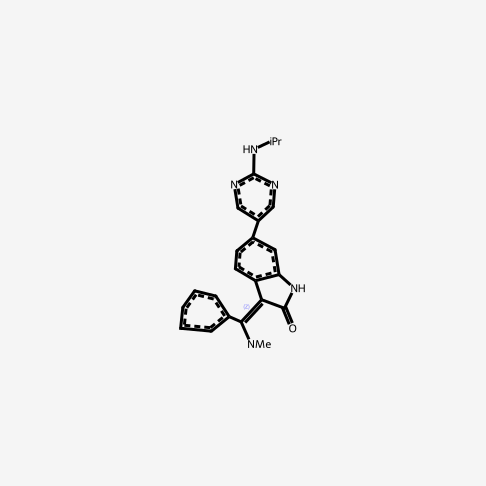 CN/C(=C1\C(=O)Nc2cc(-c3cnc(NC(C)C)nc3)ccc21)c1ccccc1